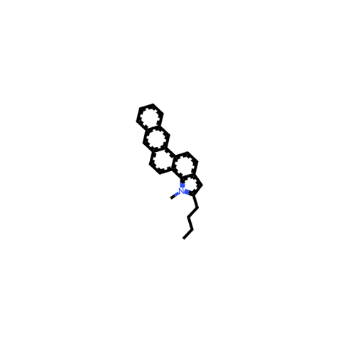 CCCCc1cc2ccc3c4cc5ccccc5cc4ccc3c2n1C